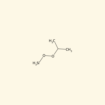 CC(C)OO[SiH3]